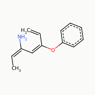 C=C/C(=C\C(N)=C/C)Oc1ccccc1